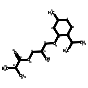 CC1CCC(C(C)C)C(OCC(O)COC(=O)C(C)C)C1